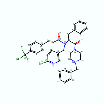 O=C(C(Cc1ccccc1)N(Cc1ccc(Br)nc1)C(=O)C=Cc1ccc(C(F)(F)F)cc1)N1CCN(Cc2ccccc2)CC1